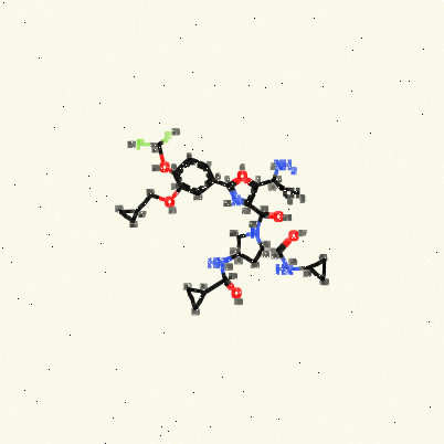 C[C@H](N)c1oc(-c2ccc(OC(F)F)c(OCC3CC3)c2)nc1C(=O)N1C[C@H](NC(=O)C2CC2)C[C@H]1C(=O)NC1CC1